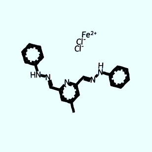 Cc1cc(C=NNc2ccccc2)nc(C=NNc2ccccc2)c1.[Cl-].[Cl-].[Fe+2]